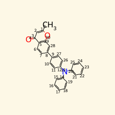 Cc1cc(=O)c2ccc(-c3ccc(N(c4ccccc4)c4ccccc4)cc3)cc2o1